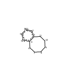 c1ncc2c(n1)CCCCCC2